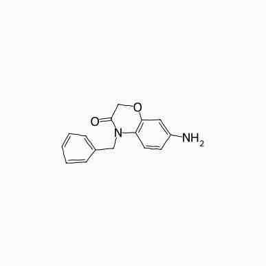 Nc1ccc2c(c1)OCC(=O)N2Cc1ccccc1